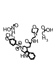 CC(=O)O.COc1ccc(S(=O)(=O)N2Cc3[nH]c4ccccc4c3C(CC(=O)NCCN3CCOCC3)C2)cc1.O=CNO